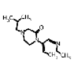 C/C=C(\C=N/CC)N1CCN(CC(C)C)CC1=O